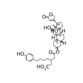 C[C@]12CC[C@H](OC(=O)CC(CCCCc3ccc(O)cc3)CC(=O)O)C[C@H]1CC[C@@H]1[C@@H]2C[C@@H](O)[C@]2(C)[C@@H](C3=CC(=O)OC3)CC[C@]12O